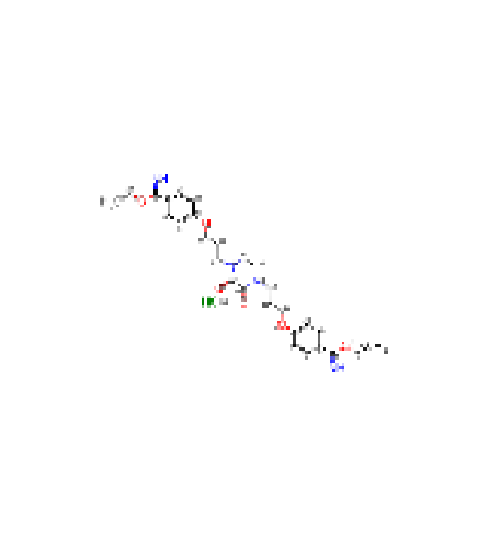 CCOC(=N)c1ccc(OCCCN2CCN(CCCOc3ccc(C(=N)OCC)cc3)C(=O)C2=O)cc1.Cl